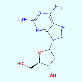 Nc1nc(N)c2ncn(C3C[C@H](O)[C@@H](CO)O3)c2n1